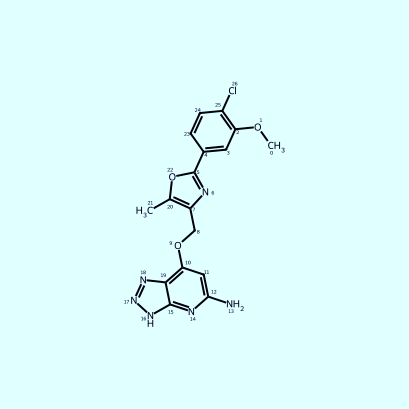 COc1cc(-c2nc(COc3cc(N)nc4[nH]nnc34)c(C)o2)ccc1Cl